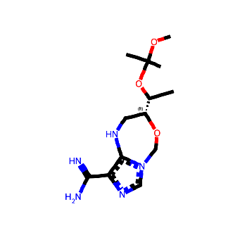 COC(C)(C)OC(C)[C@H]1CNc2c(C(=N)N)ncn2CO1